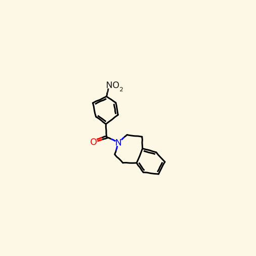 O=C(c1ccc([N+](=O)[O-])cc1)N1CCc2ccccc2CC1